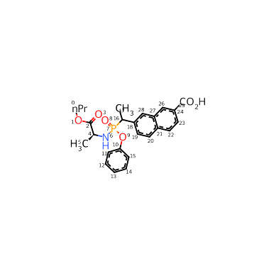 CCCOC(=O)[C@H](C)NP(=O)(Oc1ccccc1)C(C)c1ccc2ccc(C(=O)O)cc2c1